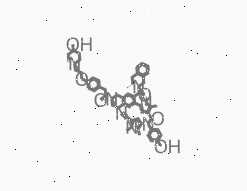 Cc1c(N(C(=O)c2cc(-c3cc4c(cc3C(=O)N3Cc5ccccc5C[C@H]3C)CN(C(=O)Cc3ccc(OCCN5CCC(O)CC5)cc3)CC4)n(C)c2C)c2ccc(O)cc2)cc(C#N)n1C